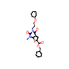 Cn1c(=O)n(CCCOc2ccccc2)c(=O)c2cc(C(=O)OCc3ccccc3)sc21